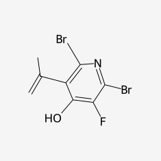 C=C(C)c1c(Br)nc(Br)c(F)c1O